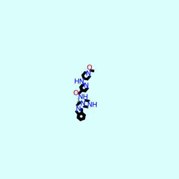 CC(=O)N1CCC(Nc2cc(C(=O)NC[C@@H](CN3Cc4ccccc4C3)N3CCNCC3)ccn2)CC1